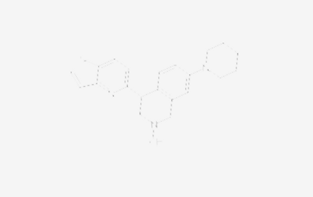 CN1Cc2cc(N3CCCCC3)ccc2C(c2ccc3sccc3n2)C1